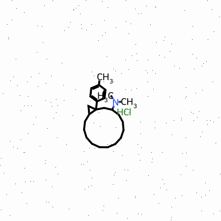 Cc1ccc(C23CC(N(C)C)CCCCCCCCCCCC2C3)cc1.Cl